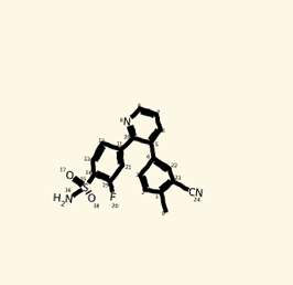 Cc1ccc(-c2cccnc2-c2ccc(S(N)(=O)=O)c(F)c2)cc1C#N